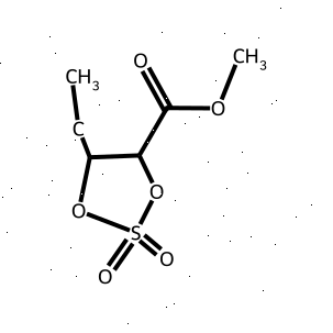 CCC1OS(=O)(=O)OC1C(=O)OC